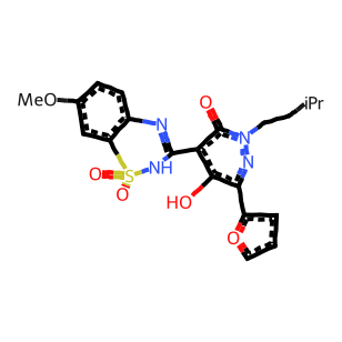 COc1ccc2c(c1)S(=O)(=O)NC(c1c(O)c(-c3ccco3)nn(CCC(C)C)c1=O)=N2